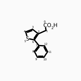 O=C(O)Cc1ccsc1-c1ccccc1